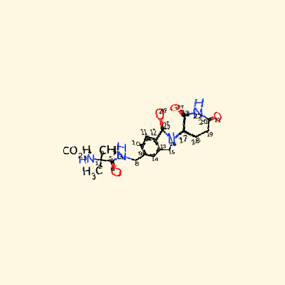 CC(C)(NC(=O)O)C(=O)NCc1ccc2c(c1)CN(C1CCC(=O)NC1=O)C2=O